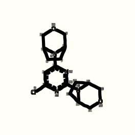 Clc1cc(N2C3CCC2COC3)nc(N2C3CCC2COC3)n1